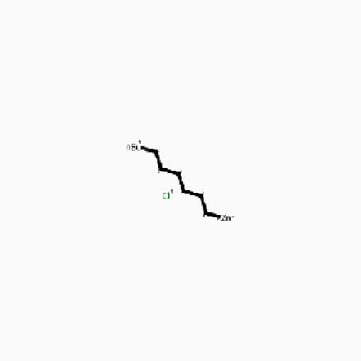 CCCCCCCCC[CH2][Zn+].[Cl-]